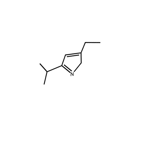 CCC1=CC(C(C)C)=NC1